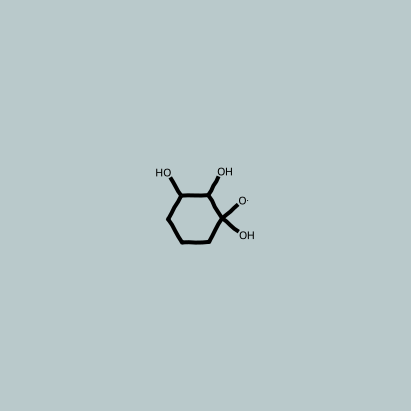 [O]C1(O)CCCC(O)C1O